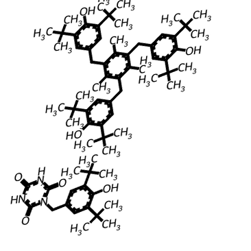 CC(C)(C)c1cc(Cn2c(=O)[nH]c(=O)[nH]c2=O)cc(C(C)(C)C)c1O.Cc1c(Cc2cc(C(C)(C)C)c(O)c(C(C)(C)C)c2)c(C)c(Cc2cc(C(C)(C)C)c(O)c(C(C)(C)C)c2)c(C)c1Cc1cc(C(C)(C)C)c(O)c(C(C)(C)C)c1